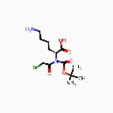 CC(C)(C)OC(=O)N(C(=O)CBr)[C@@H](CCCCN)C(=O)O